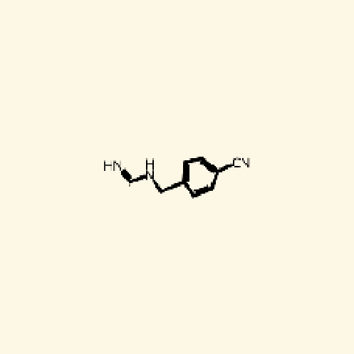 N#Cc1ccc(CN[C]=N)cc1